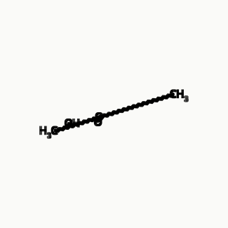 CCCCCCCCCCCCCCCCCCCCCCCCCCCCCCOC(=O)CCCCCCCCCCC(O)CCCCCC